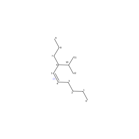 CCCC/C=C\C(CCC)C(C)C